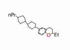 CCCC1CCC(C2CCC(c3ccc4c(c3)CCC(CC)O4)CC2)CC1